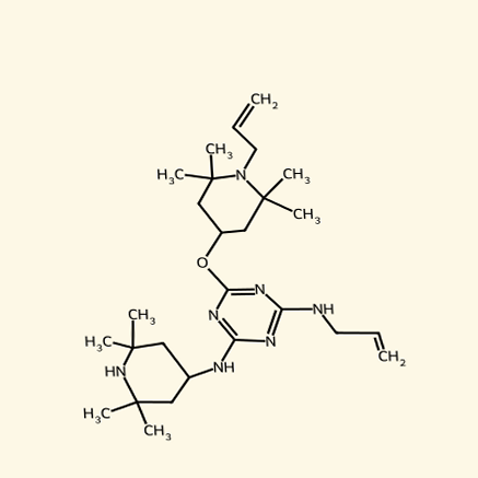 C=CCNc1nc(NC2CC(C)(C)NC(C)(C)C2)nc(OC2CC(C)(C)N(CC=C)C(C)(C)C2)n1